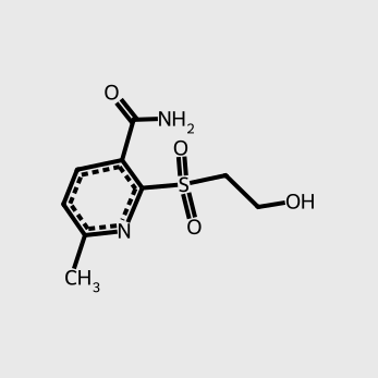 Cc1ccc(C(N)=O)c(S(=O)(=O)CCO)n1